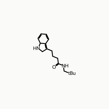 CC(C)(C)CNC(=O)CCCC1=C2C=CC=CC2NC1